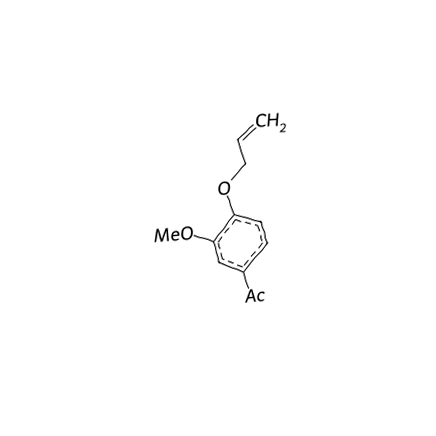 C=CCOc1ccc(C(C)=O)cc1OC